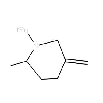 C=C1CCC(C)N(C(C)(C)C)C1